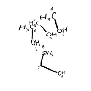 CO.CO.CO.OC[SiH3]